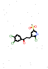 CS(=O)(=O)c1cnc(Cl)c(CCC(=O)c2ccc(Cl)c(Cl)c2)c1